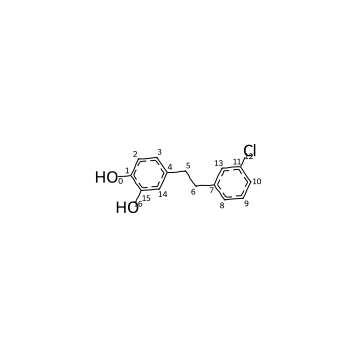 Oc1ccc(CCc2cccc(Cl)c2)cc1O